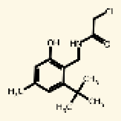 Cc1cc(O)c(CNC(=O)CCl)c(C(C)(C)C)c1